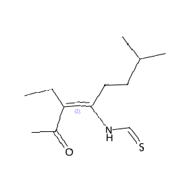 CC/C(C(C)=O)=C(\CCC(C)C)NC=S